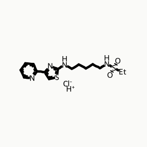 CCS(=O)(=O)NCCCCCNc1nc(-c2ccccn2)cs1.[Cl-].[H+]